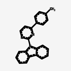 Cc1ccc(-c2ccnc(-n3c4ccccc4c4ccccc43)n2)cc1